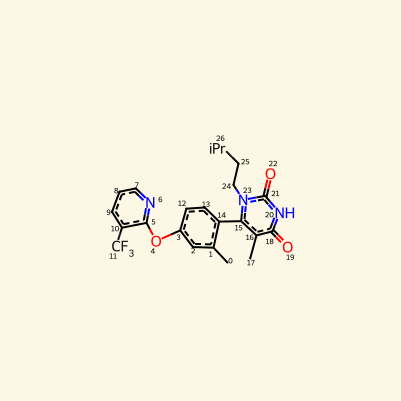 Cc1cc(Oc2ncccc2C(F)(F)F)ccc1-c1c(C)c(=O)[nH]c(=O)n1CCC(C)C